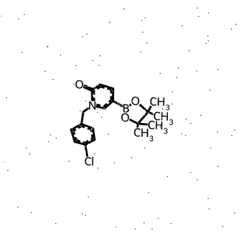 CC1(C)OB(c2ccc(=O)n(Cc3ccc(Cl)cc3)c2)OC1(C)C